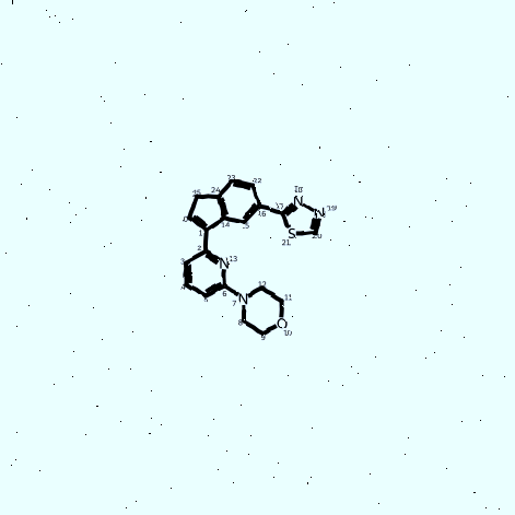 C1=C(c2cccc(N3CCOCC3)n2)c2cc(-c3nncs3)ccc2C1